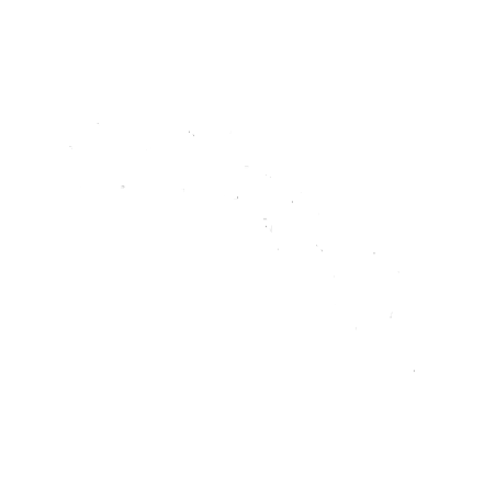 O=C1N(c2ccc(OC(F)(F)F)cc2)C(=O)C2(CC2)N1Cc1ccnc(C2CCCCC2)c1